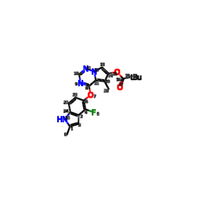 Cc1cc2c(F)c(Oc3ncnn4cc(OC(=O)C(C)(C)C)c(C)c34)ccc2[nH]1